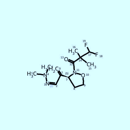 C=C(/C=N\N(C)C)[C@@H]1CCON1C(=O)C(C)(C)C(F)F